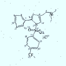 CN(C)Cc1cc(-c2ccccc2)n(S(=O)(=O)c2ccc(C(F)(F)F)cc2)c1.Cl